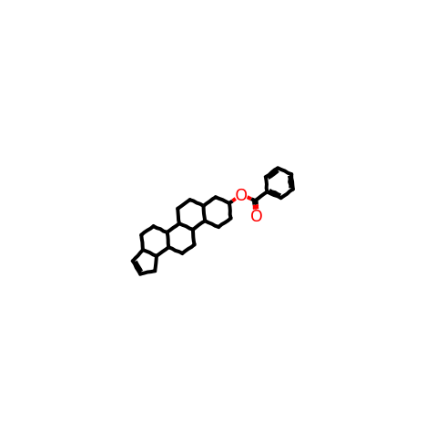 O=C(OC1CCC2C(CCC3C2CCC2C4CC=CC4CCC23)C1)c1ccccc1